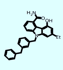 CCc1cc(O)c2c3c(C(N)=O)cccc3n(Cc3cccc(Cc4ccccc4)c3)c2c1